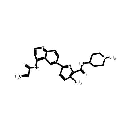 C=CC(=O)Nc1ccnc2ccc(-c3ccc(N)c(C(=O)NC4CCN(C)CC4)n3)cc12